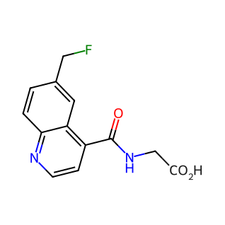 O=C(O)CNC(=O)c1ccnc2ccc(CF)cc12